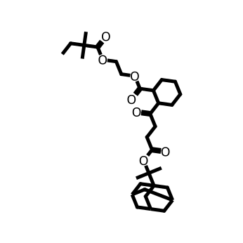 CCC(C)(C)C(=O)OCCOC(=O)C1CCCCC1C(=O)CCC(=O)OC(C)(C)C12CC3CC(CC(C3)C1)C2